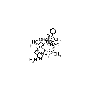 CC(OP(=O)(N[C@@H](C)C(=O)OCC(C)(C)C)Oc1ccccc1)[C@H]1O[C@@H](n2ccc3c(N)ncnc32)[C@](C)(O)[C@@H]1O